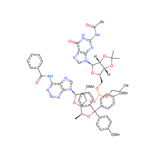 COc1ccc(C(O[C@@H](C)C2O[C@@H](n3cnc4c(NC(=O)c5ccccc5)ncnc43)[C@H](OC)[C@@H]2OP(OCCC#N)OC[C@H]2O[C@@H](n3cnc4c(=O)[nH]c(NC(=O)C(C)C)nc43)[C@@H]3OC(C)(C)O[C@@H]32)(c2ccccc2)c2ccc(OC)cc2)cc1